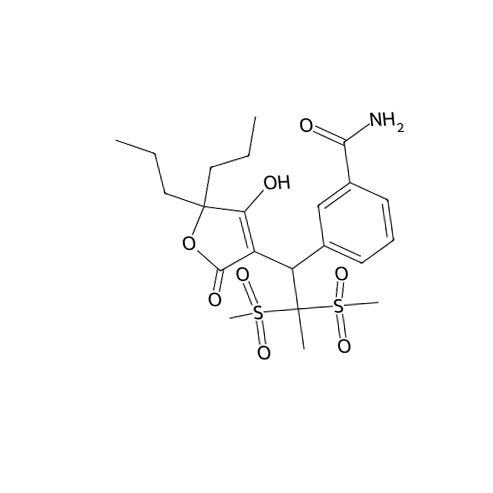 CCCC1(CCC)OC(=O)C(C(c2cccc(C(N)=O)c2)C(C)(S(C)(=O)=O)S(C)(=O)=O)=C1O